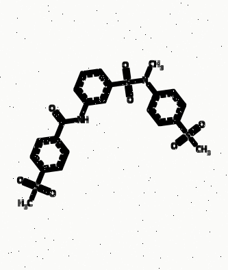 CN(c1ccc(S(C)(=O)=O)cc1)S(=O)(=O)c1cccc(NC(=O)c2ccc(S(C)(=O)=O)cc2)c1